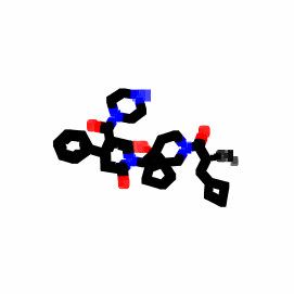 C[C@H](CC1CCC1)C(=O)N1CC[C@](O)(Cn2cc(C(=O)N3CCNCC3)c(-c3ccccc3)cc2=O)C2(CCCC2)C1